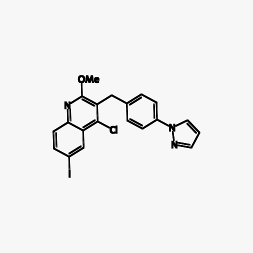 COc1nc2ccc(I)cc2c(Cl)c1Cc1ccc(-n2cccn2)cc1